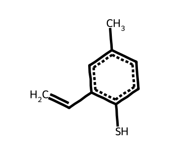 C=Cc1cc(C)ccc1S